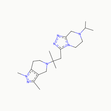 Cc1nn(C)c2c1CN(C(C)(C)Cc1nnc3n1CCN(C(C)C)C3)CC2